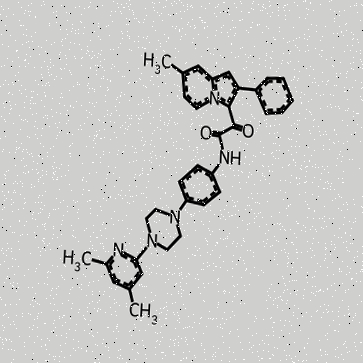 Cc1cc(C)nc(N2CCN(c3ccc(NC(=O)C(=O)c4c(-c5ccccc5)cc5cc(C)ccn45)cc3)CC2)c1